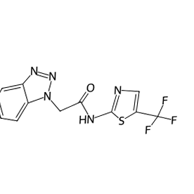 O=C(Cn1nnc2ccccc21)Nc1ncc(C(F)(F)F)s1